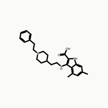 Cc1cc(C)c2c(NCCC3CCN(CCc4ccccc4)CC3)c(C(=O)O)[nH]c2c1